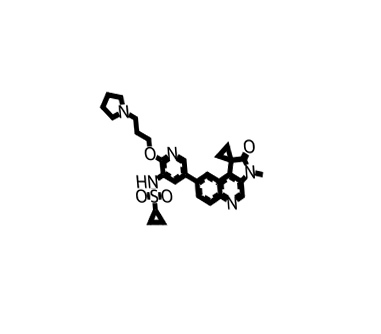 CN1C(=O)C2(CC2)c2c1cnc1ccc(-c3cnc(OCCCN4CCCC4)c(NS(=O)(=O)C4CC4)c3)cc21